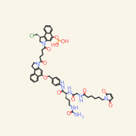 NC(=O)NCCC[C@H](NC(=O)CNC(=O)CCCCCN1C(=O)C=CC1=O)C(=O)Nc1ccc(COc2cc3c(c4ccccc24)CCN3C(=O)CCCC(=O)N2C[C@@H](CCl)c3c2cc(OP(O)O)c2ccccc32)cc1